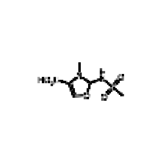 CN1C(C(=O)O)=COC1NS(C)(=O)=O